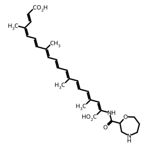 CC(=C/C=C/C(C)=C/C=C/C=C(C)/C=C/C=C(C)/C=C(/NC(=O)C1CNCCCO1)C(=O)O)/C=C/C(=O)O